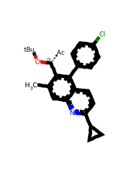 CC(=O)[C@@H](OC(C)(C)C)c1c(C)cc2nc(C3CC3)ccc2c1-c1ccc(Cl)cc1